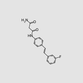 NC(=O)CC(=O)Nc1ccc(/C=C/c2cccc(F)c2)cc1